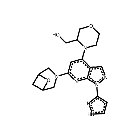 OCC1COCCN1c1cc(N2CC3CC(C2)O3)nc2c1cnn2-c1cc[nH]n1